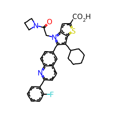 O=C(O)c1cc2c(s1)c(C1CCCCC1)c(-c1ccc3nc(-c4ccccc4F)ccc3c1)n2CC(=O)N1CCC1